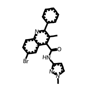 Cc1c(-c2ccccc2)nc2ccc(Br)cc2c1C(=O)Nc1ccn(C)n1